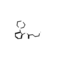 CC(=O)[C@@H](N)CCC(=O)Nc1ccccc1N1CCNCC1